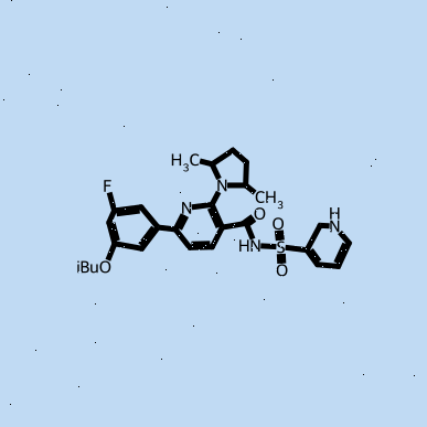 CC(C)COc1cc(F)cc(-c2ccc(C(=O)NS(=O)(=O)C3=CC=CNC3)c(N3C(C)CCC3C)n2)c1